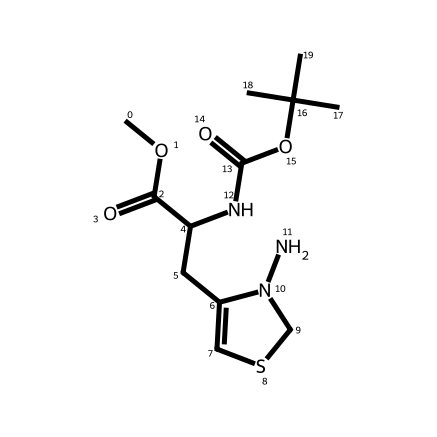 COC(=O)C(CC1=CSCN1N)NC(=O)OC(C)(C)C